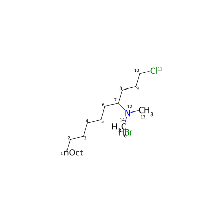 Br.CCCCCCCCCCCCCC(CCCCl)N(C)C